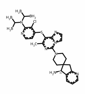 BC(B)N(c1nccc(Sc2c(C)nc(N3CCC4(CC3)Cc3ncccc3[C@H]4N)n3ccnc23)c1Cl)C(B)B